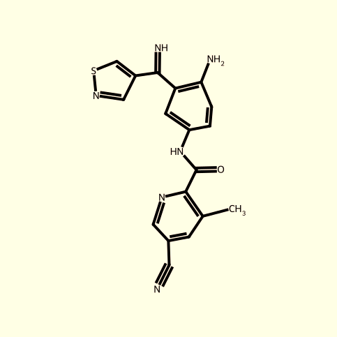 Cc1cc(C#N)cnc1C(=O)Nc1ccc(N)c(C(=N)c2cnsc2)c1